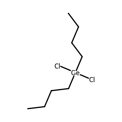 CCC[CH2][Ge]([Cl])([Cl])[CH2]CCC